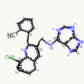 N#Cc1ccccc1-c1nc2c(Cl)cccc2cc1CNc1ncnc2[nH]cnc12